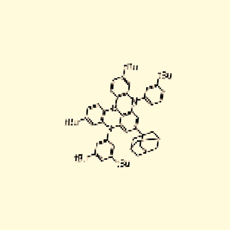 CC(C)(C)c1cccc(N2c3cc(C(C)(C)C)ccc3B3c4ccc(C(C)(C)C)cc4N(c4cc(C(C)(C)C)cc(C(C)(C)C)c4)c4cc(C56CC7CC(CC(C7)C5)C6)cc2c43)c1